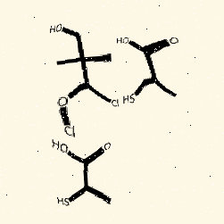 CC(C)(CO)C(Cl)OCl.CC(S)C(=O)O.CC(S)C(=O)O